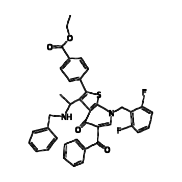 CCOC(=O)c1ccc(-c2sc3c(c2C(C)NCc2ccccc2)c(=O)c(C(=O)c2ccccc2)cn3Cc2c(F)cccc2F)cc1